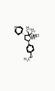 COc1ccc([C@H]2C[C@H](c3ccncc3)C(C)(C)N2)cc1.Cl.Cl